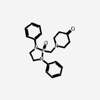 O=C1CCN(CP2(=O)N(c3ccccc3)CCN2c2ccccc2)CC1